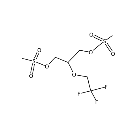 CS(=O)(=O)OCC(COS(C)(=O)=O)OCC(F)(F)F